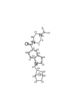 CC(C)N1CCN(C(=O)c2ccc3c(ccn3CC3CC4CCC3C4)c2)CC1